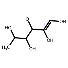 CC(O)C(O)C(O)/C(O)=C/O